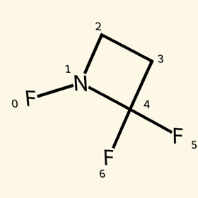 FN1CCC1(F)F